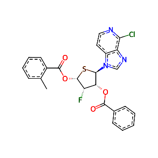 Cc1ccccc1C(=O)O[C@@H]1S[C@@H](n2cnc3c(Cl)nccc32)[C@H](OC(=O)c2ccccc2)[C@@H]1F